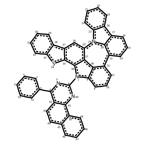 c1ccc(-c2nc(-n3c4cccc5c6cccc7c8ccccc8n(c8cc9c%10ccccc%10sc9c3c8c54)c67)nc3c2ccc2ccccc23)cc1